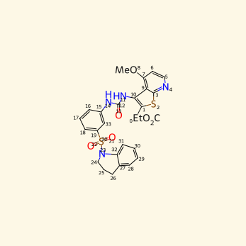 CCOC(=O)c1sc2nccc(OC)c2c1NC(=O)Nc1cccc(S(=O)(=O)N2CCCc3ccccc32)c1